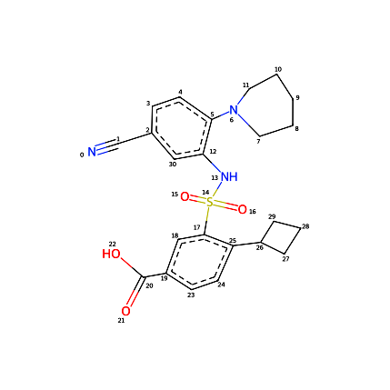 N#Cc1ccc(N2CCCCC2)c(NS(=O)(=O)c2cc(C(=O)O)ccc2C2CCC2)c1